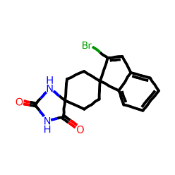 O=C1NC(=O)C2(CCC3(CC2)C(Br)=Cc2ccccc23)N1